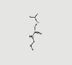 CCCNC(=O)COC(C)C